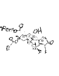 CCCCCOC(=O)[C@@H]1[C@@]2(C)C[C@H](O)[C@@]3(F)[C@@H](C[C@H](F)C4=C(F)C(=O)C=C[C@@]43C)[C@@H]2C[C@]1(C)OC(=O)CC